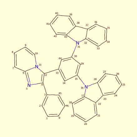 c1ccc(-c2nc3ccccn3c2-c2cc(-n3c4ccccc4c4ccccc43)cc(-n3c4ccccc4c4ccccc43)c2)cc1